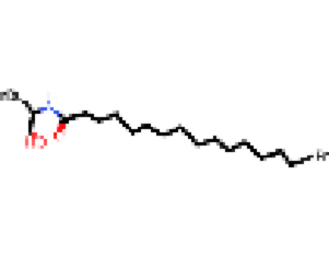 CCCCC(CO)NC(=O)CCCCCCCCCCCCCCC(C)C